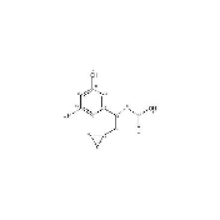 O=C(O)C[C@H](CC1CC1)c1cc(O)cc(F)c1